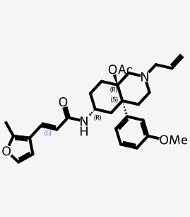 C=CCN1CC[C@@]2(c3cccc(OC)c3)C[C@H](NC(=O)/C=C/c3ccoc3C)CC[C@]2(OC(C)=O)C1